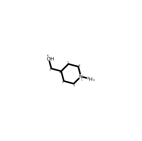 [2H]N1CCC(CO)CC1